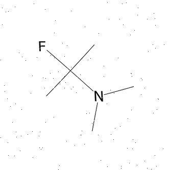 CN(C)C(C)(C)F